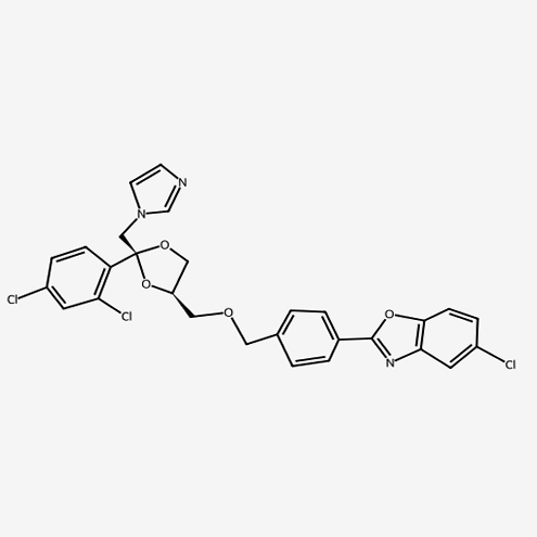 Clc1ccc([C@]2(Cn3ccnc3)OC[C@@H](COCc3ccc(-c4nc5cc(Cl)ccc5o4)cc3)O2)c(Cl)c1